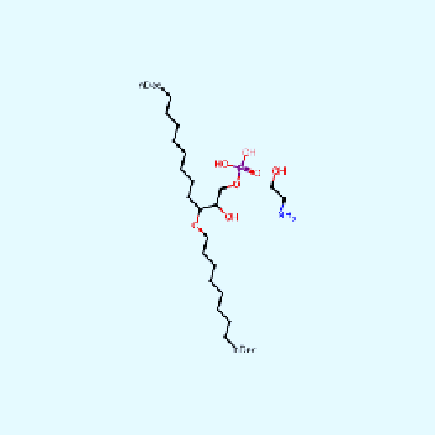 CCCCCCCCCCCCCCCCCCOC(CCCCCCCCCCCCCCCCCC)C(O)COP(=O)(O)O.NCCO